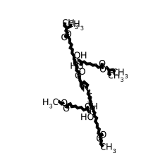 CCCOC(=O)CCCCCCC(O)CN(CCCSSCCN1CCN(CCOC(=O)CCCN(CC(O)CCCCCCC(=O)OCC(CC)CC)CC(O)CCCCCCC(=O)OCC(CC)CC)CC1)CC(O)CCCCCCC(=O)OCCC